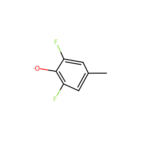 Cc1cc(F)c([O])c(F)c1